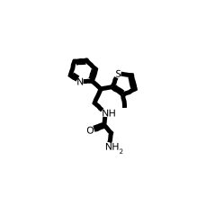 Cc1ccsc1C(CNC(=O)CN)c1ccccn1